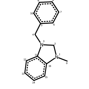 CN1CN(Cc2ccccc2)c2ccccc21